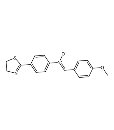 COc1ccc(C=[N+]([O-])c2ccc(C3=NCCS3)cc2)cc1